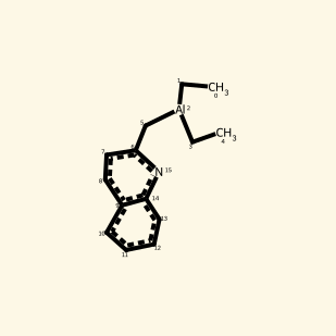 C[CH2][Al]([CH2]C)[CH2]c1ccc2ccccc2n1